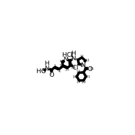 Cl.O=C(/C=C/c1cnc(N[C@@H]2CCN(C(=O)C3CCCCC3)C2)c(Cl)c1)NO